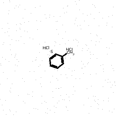 Cc1ccccc1.Cl.Cl.[S]